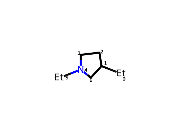 CCC1CCN(CC)C1